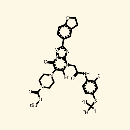 [2H]C([2H])([2H])Sc1ccc(NC(=O)Cn2c(CC)c(N3CCN(C(=O)OC(C)(C)C)CC3)c(=O)n3nc(-c4ccc5c(c4)CCO5)nc23)c(Cl)c1